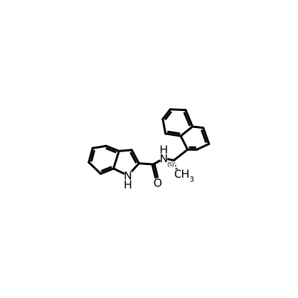 C[C@H](NC(=O)c1cc2ccccc2[nH]1)c1cccc2ccccc12